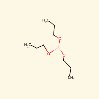 [CH2]C[CH]OB(O[CH]C[CH2])O[CH]C[CH2]